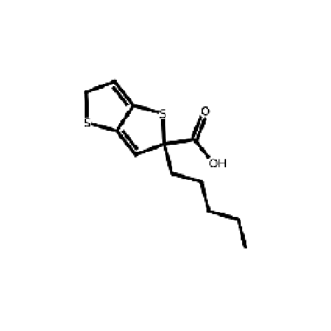 CCCCCC1(C(=O)O)C=C2SCC=C2S1